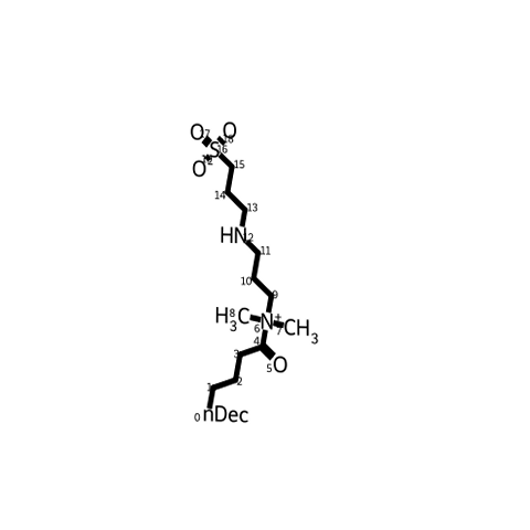 CCCCCCCCCCCCCC(=O)[N+](C)(C)CCCNCCCS(=O)(=O)[O-]